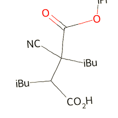 CCC(C)C(C(=O)O)C(C#N)(C(=O)OC(C)C)C(C)CC